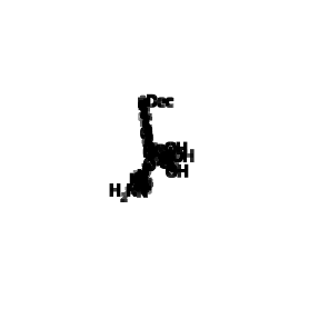 CCCCCCCCCCCCCCCCOCCCOP(=O)(COCCn1cnc2c(N)ncnc21)OC1O[C@H](CO)[C@H](O)[C@H](O)[C@H]1O